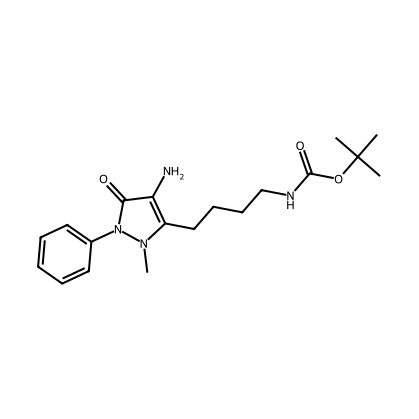 Cn1c(CCCCNC(=O)OC(C)(C)C)c(N)c(=O)n1-c1ccccc1